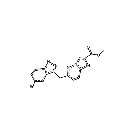 COC(=O)c1cn2nc(Cn3nnc4ccc(Br)cc43)ccc2n1